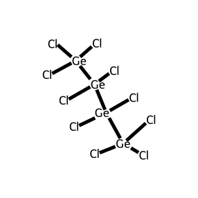 [Cl][Ge]([Cl])([Cl])[Ge]([Cl])([Cl])[Ge]([Cl])([Cl])[Ge]([Cl])([Cl])[Cl]